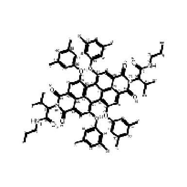 CCCNC(=O)C(C(C)C)N1C(=O)c2cc(Oc3cc(C)cc(C)c3)c3c4c(Oc5cc(C)cc(C)c5)cc5c6c(cc(Oc7cc(C)cc(C)c7)c(c7c(Oc8cc(C)cc(C)c8)cc(c2c37)C1=O)c64)C(=O)N(C(C(=O)NCCC)C(C)C)C5=O